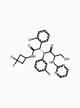 O=C(NC1CC(F)(F)C1)[C@H](c1ccccc1Cl)N(C(=O)C(CO)Nc1ncccn1)c1cccc(F)c1